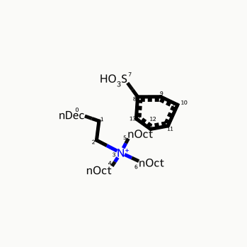 CCCCCCCCCCCC[N+](CCCCCCCC)(CCCCCCCC)CCCCCCCC.O=S(=O)(O)c1ccccc1